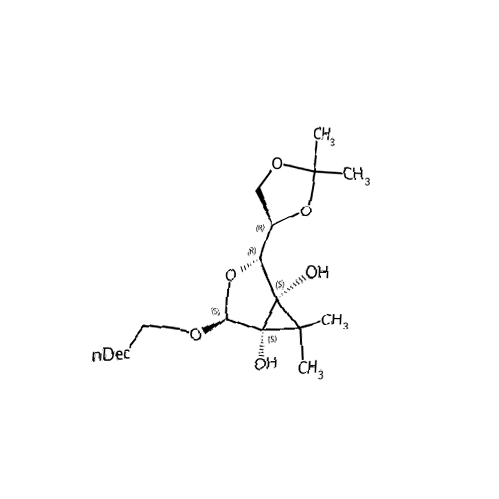 CCCCCCCCCCCO[C@H]1O[C@H]([C@H]2COC(C)(C)O2)[C@@]2(O)C(C)(C)[C@@]12O